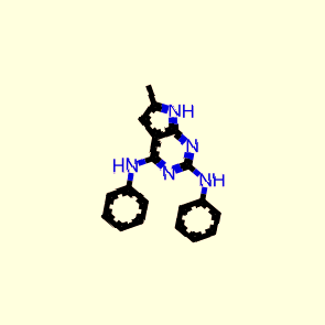 Cc1cc2c(Nc3ccccc3)nc(Nc3ccccc3)nc2[nH]1